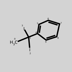 CC(I)(I)c1ccccc1